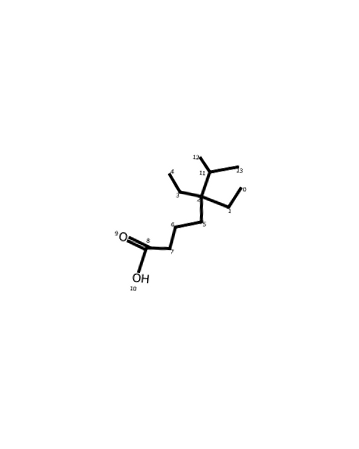 CCC(CC)(CCCC(=O)O)C(C)C